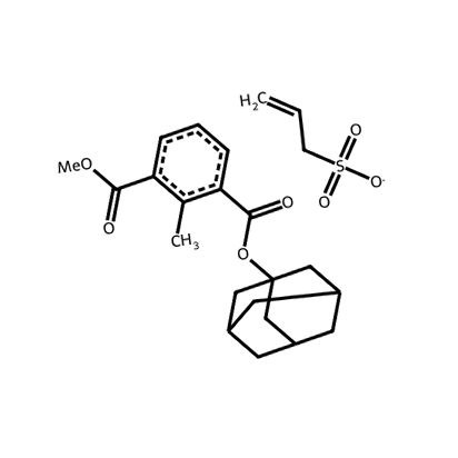 C=CCS([O])(=O)=O.COC(=O)c1cccc(C(=O)OC23CC4CC(CC(C4)C2)C3)c1C